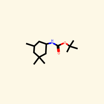 CC1CC(NC(=O)OC(C)(C)C)CC(C)(C)C1